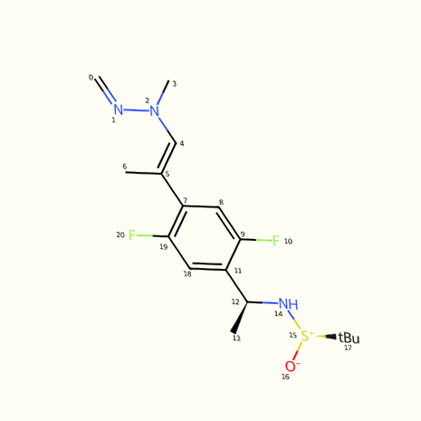 C=NN(C)/C=C(\C)c1cc(F)c([C@H](C)N[S@+]([O-])C(C)(C)C)cc1F